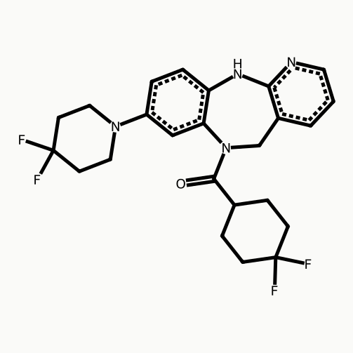 O=C(C1CCC(F)(F)CC1)N1Cc2cccnc2Nc2ccc(N3CCC(F)(F)CC3)cc21